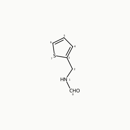 O=CNCc1cccs1